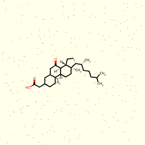 CC(C)CCC[C@@H](C)[C@H]1CC[C@H]2[C@@H]3C(=O)CC4CC(CC(=O)O)CC[C@]4(C)[C@H]3CC[C@]12C